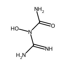 N=C(N)N(O)C(N)=O